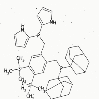 C[Si](C)(C)c1cc(CP(c2ccc[nH]2)c2ccc[nH]2)c(CP(C23CC4CC(CC(C4)C2)C3)C23CC4CC(CC(C4)C2)C3)cc1[Si](C)(C)C